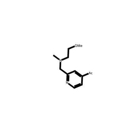 COCCN(C)Cc1cc(C(C)=O)ccn1